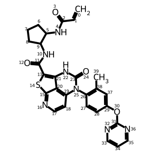 C=CC(=O)NC1CCCC1NC(=O)c1sc2nccc3c2c1NC(=O)N3c1ccc(Oc2ncccn2)cc1C